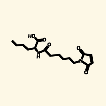 CCCCC(NC(=O)CCCCCN1C(=O)C=CC1=O)C(=O)O